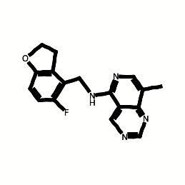 Cc1cnc(NCc2c(F)ccc3c2CCO3)c2cncnc12